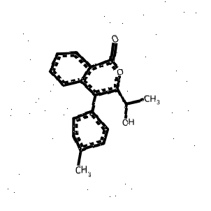 Cc1ccc(-c2c(C(C)O)oc(=O)c3ccccc23)cc1